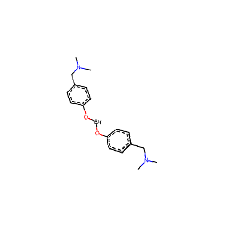 CN(C)Cc1ccc(OBOc2ccc(CN(C)C)cc2)cc1